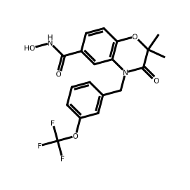 CC1(C)Oc2ccc(C(=O)NO)cc2N(Cc2cccc(OC(F)(F)F)c2)C1=O